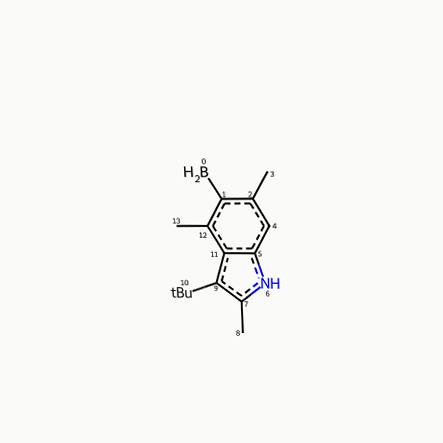 Bc1c(C)cc2[nH]c(C)c(C(C)(C)C)c2c1C